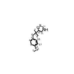 CSc1ccc(CC(C)(C)C2CNCCO2)cc1